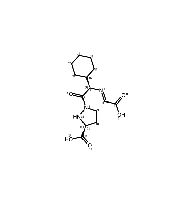 O=C(O)C=N[C@@H](C(=O)N1CC[C@@H](C(=O)O)N1)C1CCCCC1